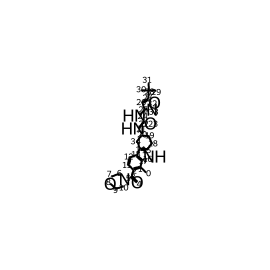 Cc1c(C(=O)N2CCOCC2)ccc2c3c([nH]c12)CCC(NC(=O)Nc1cc(C(C)(C)C)on1)C3